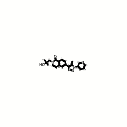 Cc1c(-c2ccc3c(=O)n(CC(C)(C)O)ccc3c2)nnn1-c1cccnc1